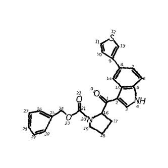 O=C(c1c[nH]c2ccc(-c3ccsc3)cc12)C1CCCN1C(=O)OCc1ccccc1